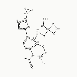 CC(=O)N1c2ccc(-c3cnn(C4CC4)c3)c(OCC3(CO)COC3)c2CC[C@@H]1C